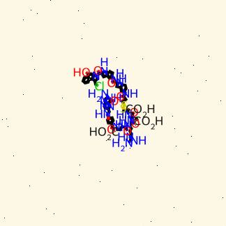 N=C(N)NCCC[C@@H](NC(=O)CC[C@@H](NC(=O)c1ccc(NCc2cnc3nc(N)[nH]c(=O)c3n2)cc1)C(=O)O)C(=O)N[C@H](CC(=O)O)C(=O)NC(CSSCCC(=O)NC1=CCC2NC(C(=O)Nc3ccc4[nH]c(C(=O)N5CC(CCl)c6c5cc(O)c5ccccc65)cc4c3)=CC2=C1)C(=O)O